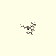 CCCCCNc1cc(C(F)(F)F)ccc1C(=O)O